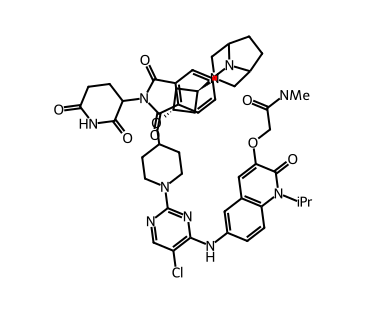 CNC(=O)COc1cc2cc(Nc3nc(N4CCC(O[C@H]5C[C@H](N6CC7CCC(C6)N7c6ccc7c(c6)C(=O)N(C6CCC(=O)NC6=O)C7=O)C5)CC4)ncc3Cl)ccc2n(C(C)C)c1=O